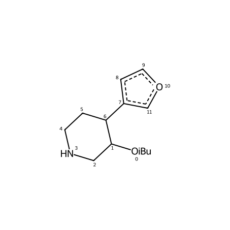 CC(C)COC1CNCCC1c1ccoc1